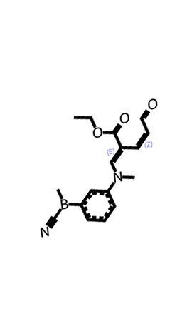 CCOC(=O)C(/C=C\C=O)=C/N(C)c1cccc(B(C)C#N)c1